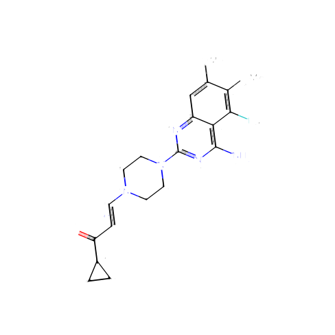 COc1cc2nc(N3CCN(/C=C/C(=O)C4CC4)CC3)nc(N)c2c(F)c1OC